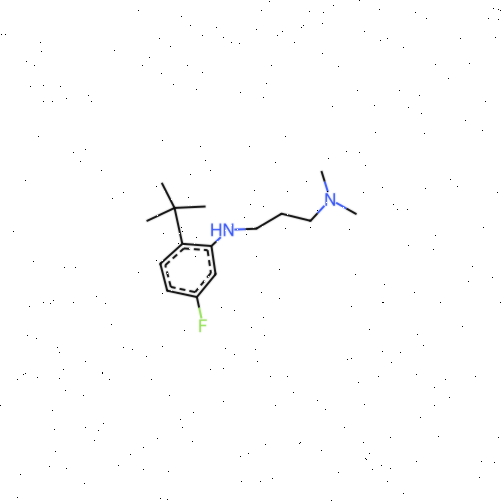 CN(C)CCCNc1cc(F)ccc1C(C)(C)C